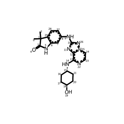 CC1(C)C(=O)Nc2cc(Nc3nc4c(N[C@H]5CC[C@H](O)CC5)nccn4n3)ccc21